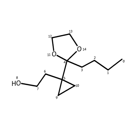 CCCCC1(C2(CCO)CC2)OCCO1